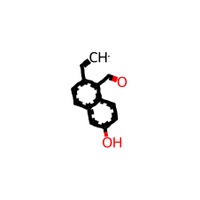 [CH]=Cc1ccc2cc(O)ccc2c1C=O